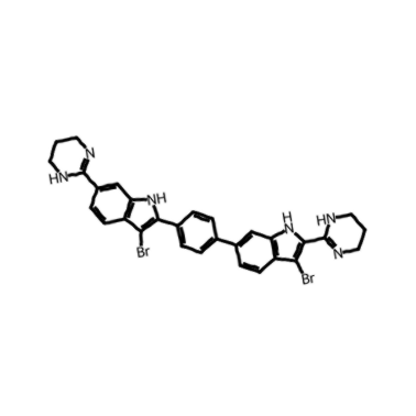 Brc1c(C2=NCCCN2)[nH]c2cc(-c3ccc(-c4[nH]c5cc(C6=NCCCN6)ccc5c4Br)cc3)ccc12